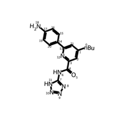 CCCCc1cc(C(=O)Nc2nnn[nH]2)nc(-c2ccc(N)cc2)c1